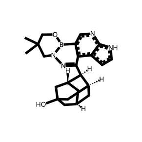 CC1(C)COB2c3cnc4[nH]ccc4c3C([C@@H]3[C@@H]4C[C@H]5C[C@H]3CC(O)(C5)C4)=NN2C1